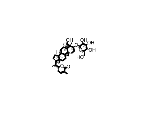 CC1=CC[C@@H]([C@@H](C)[C@H]2CC[C@@]3(C)[C@@H]4CC[C@H]5[C@](C)(C(=O)O)[C@@H](O[C@@H]6O[C@H](CO)[C@@H](O)[C@H](O)[C@H]6O)CC[C@@]56C[C@@]46CC[C@]23C)OC1=O